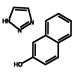 Oc1ccc2ccccc2c1.c1c[nH]nn1